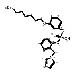 CCCCCCCCCCCCCCCCOc1cccc(OP(=O)(O)Oc2ccccc2Cn2ccnn2)c1